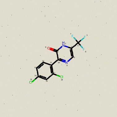 O=c1[nH]c(C(F)(F)F)cnc1-c1ccc(Cl)cc1Cl